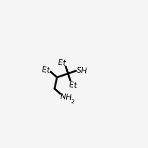 CCC(CN)C(S)(CC)CC